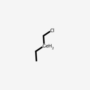 C[CH2][GeH2][CH2]Cl